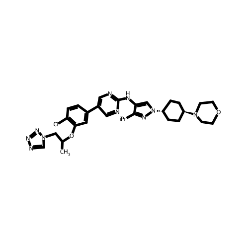 CC(Cn1cnnn1)Oc1cc(-c2cnc(Nc3cn([C@H]4CC[C@H](N5CCOCC5)CC4)nc3C(C)C)nc2)ccc1Cl